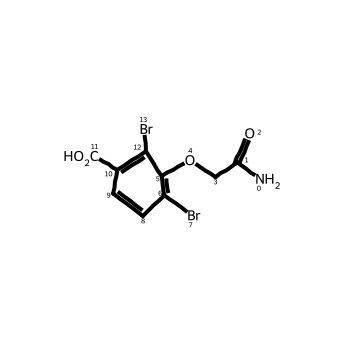 NC(=O)COc1c(Br)ccc(C(=O)O)c1Br